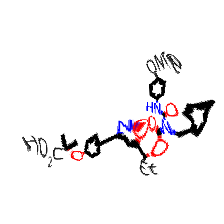 CCC(OC(=O)N(Cc1ccccc1)C(=O)Nc1ccc(OC)cc1)c1cc(-c2ccc(OC(C)(C)C(=O)O)cc2)no1